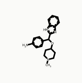 CN1CCC(OC(c2ccc(N)cc2)c2nc3ccccc3[nH]2)CC1